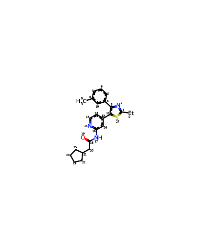 CCc1nc(-c2cccc(C)c2)c(-c2ccnc(NC(=O)CC3CCCC3)c2)s1